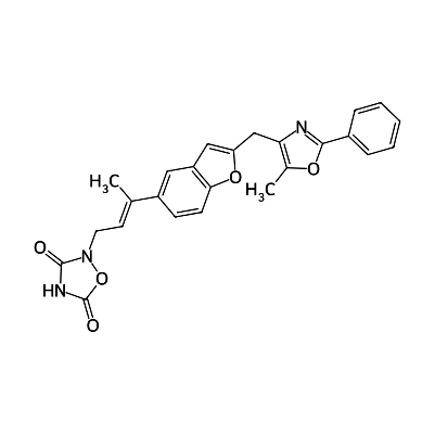 CC(=CCn1oc(=O)[nH]c1=O)c1ccc2oc(Cc3nc(-c4ccccc4)oc3C)cc2c1